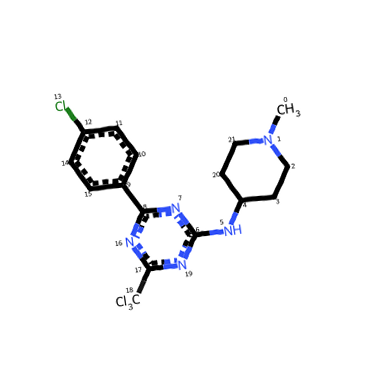 CN1CCC(Nc2nc(-c3ccc(Cl)cc3)nc(C(Cl)(Cl)Cl)n2)CC1